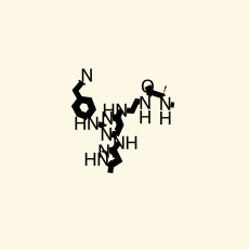 CN[C@@H](C)C(=O)NCCNc1cc(Nc2cc(C)[nH]n2)nc(Nc2ccc(CC#N)cc2)n1